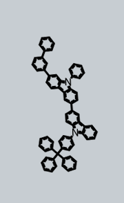 c1ccc(-c2cccc(-c3ccc4c5cc(-c6ccc7c(c6)c6ccccc6n7-c6ccc(C(c7ccccc7)(c7ccccc7)c7ccccc7)cc6)ccc5n(-c5ccccc5)c4c3)c2)cc1